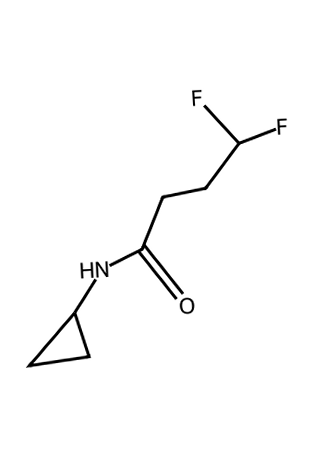 O=C(CCC(F)F)NC1CC1